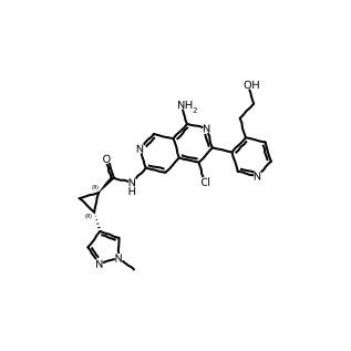 Cn1cc([C@@H]2C[C@H]2C(=O)Nc2cc3c(Cl)c(-c4cnccc4CCO)nc(N)c3cn2)cn1